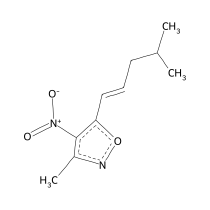 Cc1noc(C=CCC(C)C)c1[N+](=O)[O-]